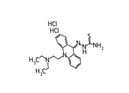 CCN(CC)CCn1c2ccccc2c(=NNC(N)=S)c2ccccc21.Cl.Cl